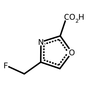 O=C(O)c1nc(CF)co1